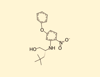 CC(C)(C)C[C@H](CO)Nc1cc(Oc2ccccc2)ccc1[N+](=O)[O-]